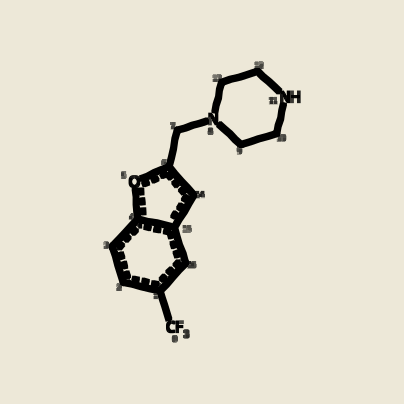 FC(F)(F)c1ccc2oc(CN3CCNCC3)cc2c1